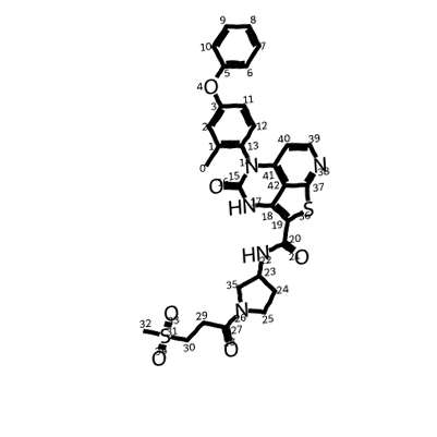 Cc1cc(Oc2ccccc2)ccc1N1C(=O)Nc2c(C(=O)NC3CCN(C(=O)CCS(C)(=O)=O)C3)sc3nccc1c23